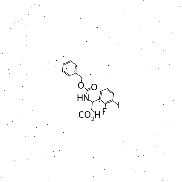 O=C(O)CC(NC(=O)OCc1ccccc1)c1cccc(I)c1F